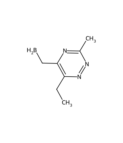 BCc1nc(C)nnc1CC